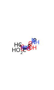 C#CCOC(=O)N[C@@H](CNC(=O)c1ccc(OCCNC2=NCCCCC2)cc1O)C(=O)O